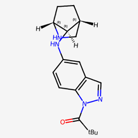 CC(C)(C)C(=O)n1ncc2cc(N[C@@H]3[C@@H]4CC[C@H]3NC4)ccc21